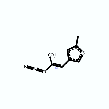 Cc1cc(/C=C(/N=[N+]=[N-])C(=O)O)cs1